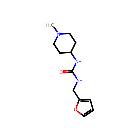 CN1CCC(NC(=O)NCc2ccco2)CC1